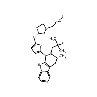 C[C@@H]1Cc2c([nH]c3ccccc23)[C@@H](c2ccc(O[C@@H]3CCN(CCCF)C3)s2)N1CC(C)(C)F